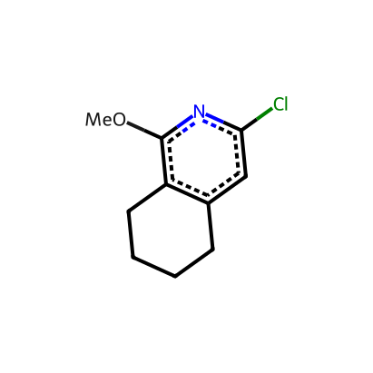 COc1nc(Cl)cc2c1CCCC2